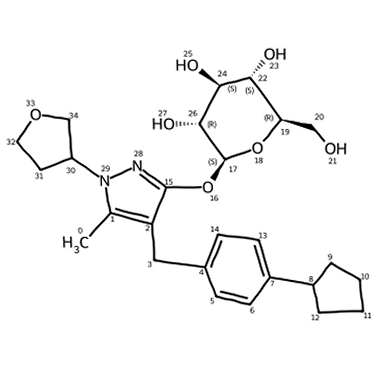 Cc1c(Cc2ccc(C3CCCC3)cc2)c(O[C@@H]2O[C@H](CO)[C@@H](O)[C@H](O)[C@H]2O)nn1C1CCOC1